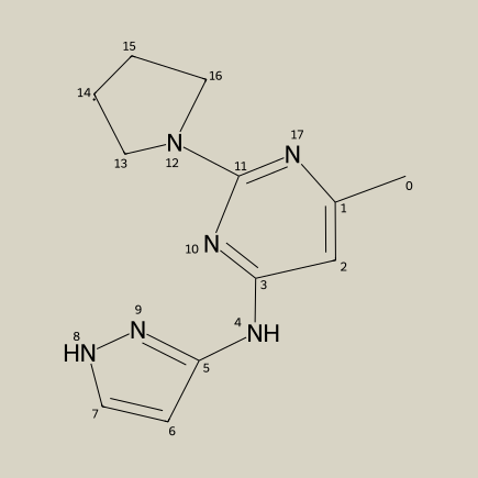 Cc1cc(Nc2cc[nH]n2)nc(N2C[CH]CC2)n1